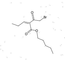 CC/C=C(/C(=O)CBr)C(=O)OCCCCC